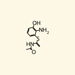 C=C(NC(C)=O)Sc1cccc(O)c1N